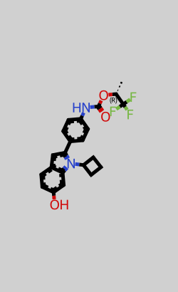 C[C@@H](OC(=O)Nc1ccc(-c2cc3ccc(O)cc3n2C2CCC2)cc1)C(F)(F)F